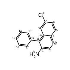 Nc1cnc2ccc(Cl)cc2c1-c1ccccc1